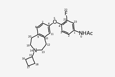 CC(=O)Nc1ccc(Oc2ccc3c(c2)CCN(C2CCC2)CC3)c(F)c1